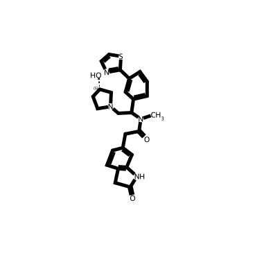 CN(C(=O)Cc1ccc2c(c1)NC(=O)C2)C(CN1CC[C@H](O)C1)c1cccc(-c2nccs2)c1